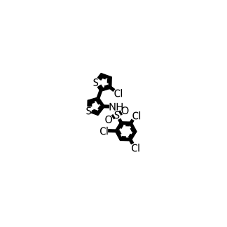 O=S(=O)(Nc1cscc1-c1sccc1Cl)c1c(Cl)cc(Cl)cc1Cl